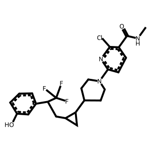 CNC(=O)c1ccc(N2CCC(C3CC3CC(c3cccc(O)c3)C(F)(F)F)CC2)nc1Cl